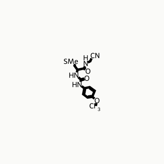 CSCC(NC(=O)Nc1ccc(OC(F)(F)F)cc1)C(=O)NCC#N